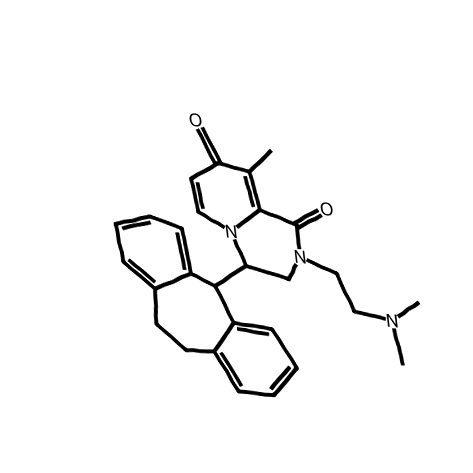 Cc1c2n(ccc1=O)C(C1c3ccccc3CCc3ccccc31)CN(CCN(C)C)C2=O